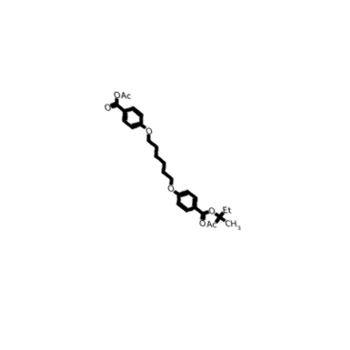 CCC(C)(OC(=O)c1ccc(OCCCCCCOc2ccc(C(=O)OC(C)=O)cc2)cc1)C(C)=O